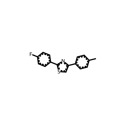 Cc1ccc(-c2csc(-c3ccc(F)cc3)n2)cc1